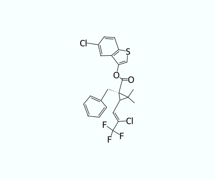 CC1(C)C(/C=C(\Cl)C(F)(F)F)[C@@]1(Cc1ccccc1)C(=O)Oc1csc2ccc(Cl)cc12